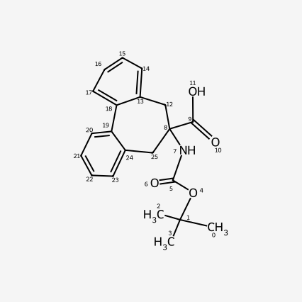 CC(C)(C)OC(=O)NC1(C(=O)O)Cc2ccccc2-c2ccccc2C1